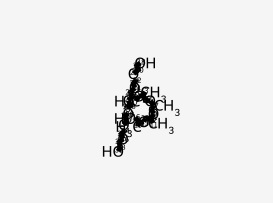 COC(C)COC(C)COC(C)COC(C)CO.OCCOCCOCCOCCOCCOCCOCCO